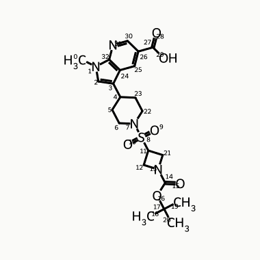 Cn1cc(C2CCN(S(=O)(=O)C3CN(C(=O)OC(C)(C)C)C3)CC2)c2cc(C(=O)O)cnc21